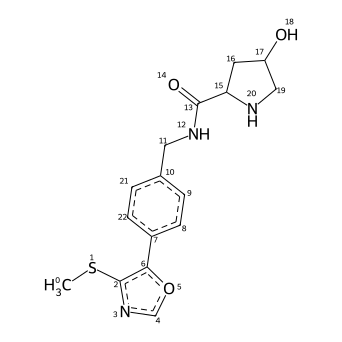 CSc1ncoc1-c1ccc(CNC(=O)C2CC(O)CN2)cc1